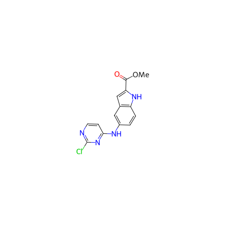 COC(=O)c1cc2cc(Nc3ccnc(Cl)n3)ccc2[nH]1